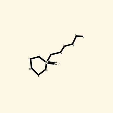 CCCCCCP1(=O)CCCCC1